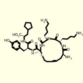 C[C@@]1(C(=O)N[C@@H](Cc2ccc(O)cc2)C(=O)N[C@@H](CC2CCCC2)C(=O)O)CCC/C=C\C[C@H](N)C(=O)N[C@@H](CCCCN)C(=O)N[C@@H](CCCCN)C(=O)N1